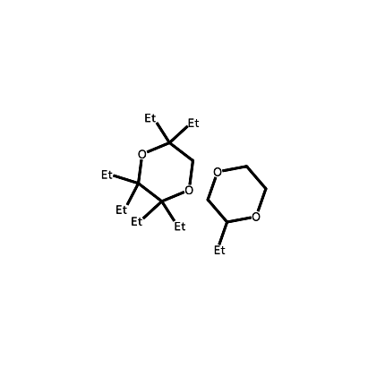 CCC1(CC)COC(CC)(CC)C(CC)(CC)O1.CCC1COCCO1